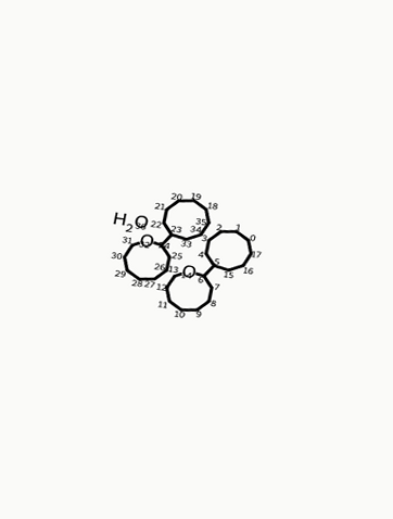 C1CCCCC(C2CCCCCCCO2)CCC1.C1CCCCC(C2CCCCCCCO2)CCC1.O